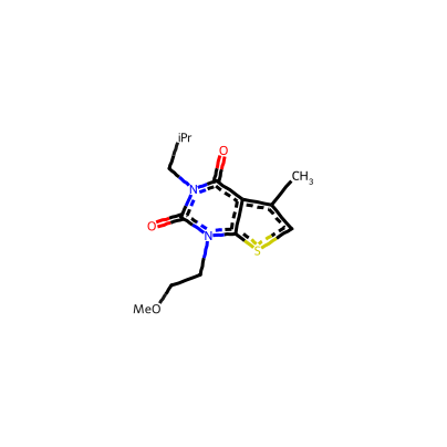 COCCn1c(=O)n(CC(C)C)c(=O)c2c(C)csc21